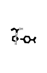 C1=NCCN1.C=C(C)C1CC=C(C)CC1.C=CC(=O)O